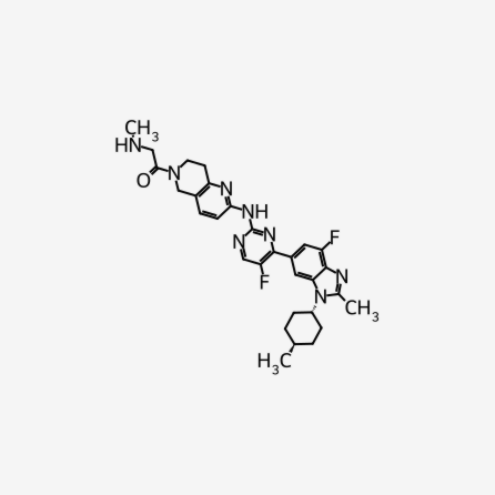 CNCC(=O)N1CCc2nc(Nc3ncc(F)c(-c4cc(F)c5nc(C)n([C@H]6CC[C@H](C)CC6)c5c4)n3)ccc2C1